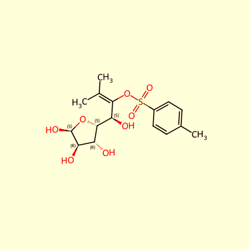 CC(C)=C(OS(=O)(=O)c1ccc(C)cc1)[C@@H](O)[C@H]1O[C@H](O)[C@H](O)[C@H]1O